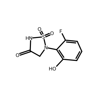 O=C1CN(c2c(O)cccc2F)S(=O)(=O)N1